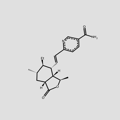 CC[C@H]1[C@H](/C=C/c2ccc(C(N)=O)cn2)[C@@H]2[C@@H](C)OC(=O)[C@@H]2C[C@@H]1C